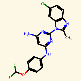 Cc1nc2ccc(Cl)cc2n1-c1nc(N)cc(Nc2ccc(OC(F)F)cc2)n1